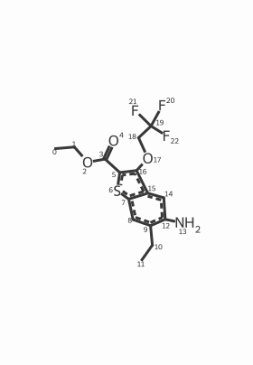 CCOC(=O)c1sc2cc(CC)c(N)cc2c1OCC(F)(F)F